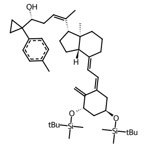 C=C1/C(=C\C=C2/CCC[C@]3(C)[C@@H](/C(C)=C\C[C@@H](O)C4(c5ccc(C)cc5)CC4)CC[C@@H]23)C[C@@H](O[Si](C)(C)C(C)(C)C)C[C@@H]1O[Si](C)(C)C(C)(C)C